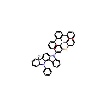 CC12C=CC=CC1N(c1ccccc1)c1c2ccc2c1c1ccccc1n2-c1ccc2c(c1)Sc1ccccc1B2c1c(-c2ccccc2)cccc1-c1ccccc1